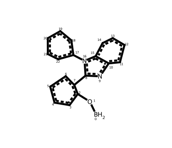 BOc1ccccc1-c1nc2ccccc2n1-c1ccccc1